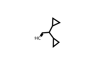 [CH]=CC(C1CC1)C1CC1